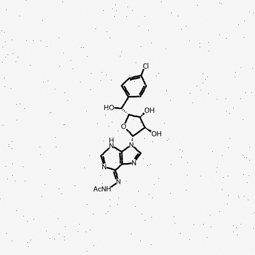 CC(=O)NN=c1nc[nH]c2c1ncn2[C@@H]1O[C@H](C(O)c2ccc(Cl)cc2)[C@@H](O)[C@H]1O